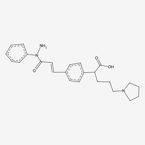 NN(C(=O)C=Cc1ccc(C(CCCN2CCCC2)C(=O)O)cc1)c1ccccc1